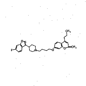 C=C1C=C(CCC)c2ccc(OCCCCN3CCC(c4noc5cc(F)ccc45)CC3)cc2O1